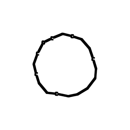 C1CCCCCCCCOCCCCCCCC1